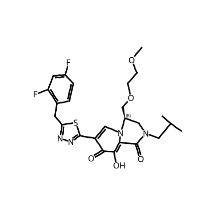 COCCOC[C@H]1CN(CC(C)C)C(=O)c2c(O)c(=O)c(-c3nnc(Cc4ccc(F)cc4F)s3)cn21